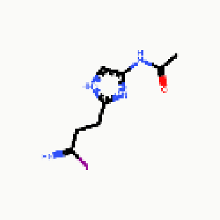 CC(=O)Nc1c[nH]c(CCC(=N)I)n1